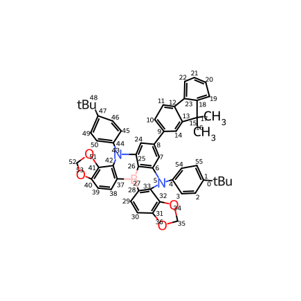 CC(C)(C)c1ccc(N2c3cc(-c4ccc5c(c4)C(C)(C)c4ccccc4-5)cc4c3B(c3ccc5c(c32)OCO5)c2ccc3c(c2N4c2ccc(C(C)(C)C)cc2)OCO3)cc1